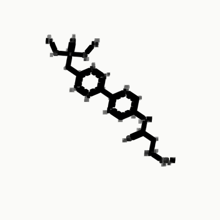 CCOP(=O)(Cc1nnc(-c2ncc(NC(=O)CNC(=O)O)cn2)nn1)OCC